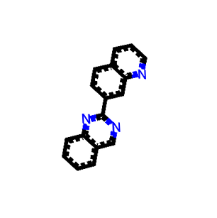 c1cnc2cc(-c3ncc4ccccc4n3)ccc2c1